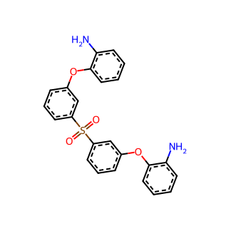 Nc1ccccc1Oc1cccc(S(=O)(=O)c2cccc(Oc3ccccc3N)c2)c1